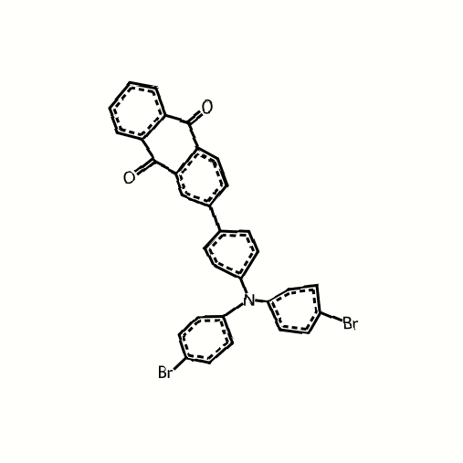 O=C1c2ccccc2C(=O)c2cc(-c3ccc(N(c4ccc(Br)cc4)c4ccc(Br)cc4)cc3)ccc21